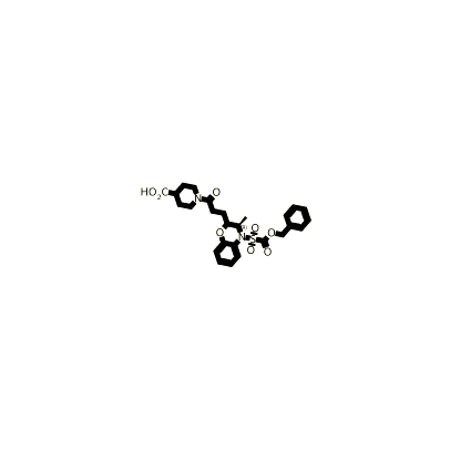 C[C@@H]1C(CCC(=O)N2CCC(C(=O)O)CC2)Oc2ccccc2N1S(=O)(=O)C(=O)OCc1ccccc1